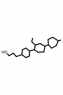 CCC1CC(C2CCC(C)CC2)CCC1C1CCC(CCCO)CC1